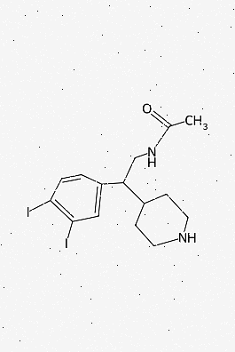 CC(=O)NCC(c1ccc(I)c(I)c1)C1CCNCC1